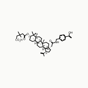 C=C(O)c1ccc(CNC(=O)C[C@]23CC[C@@H](C(=C)C)[C@@H]2[C@H]2CC[C@@H]4[C@@]5(C)CC[C@H](OC(=O)CC(C)(C)CC(=O)O)C(C)(C)[C@@H]5CC[C@@]4(C)[C@]2(C)CC3)cc1